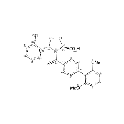 COc1cccc(OC)c1-c1ccc(C(=O)N2C(c3ccccc3Cl)CC[C@H]2C(=O)O)cc1